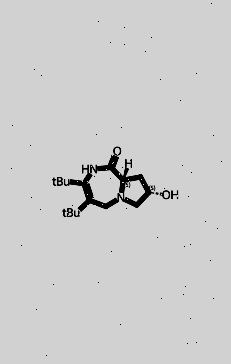 CC(C)(C)C1=C(C(C)(C)C)NC(=O)[C@@H]2C[C@H](O)CN2C1